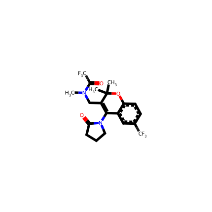 CN(CC1=C(N2CCCC2=O)c2cc(C(F)(F)F)ccc2OC1(C)C)C(=O)C(F)(F)F